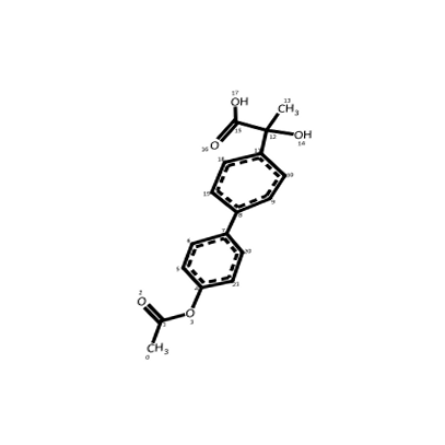 CC(=O)Oc1ccc(-c2ccc(C(C)(O)C(=O)O)cc2)cc1